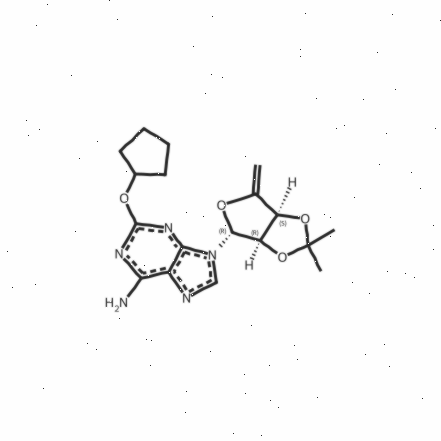 C=C1O[C@@H](n2cnc3c(N)nc(OC4CCCC4)nc32)[C@@H]2OC(C)(C)O[C@H]12